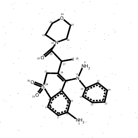 Nc1ccc2c(c1)C(N(N)c1ccccc1)=C(C(I)C(=O)N1CCOCC1)CS2(=O)=O